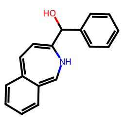 OC(C1=CC=c2ccccc2=CN1)c1ccccc1